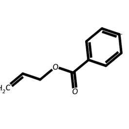 C=CCOC(=O)c1cc[c]cc1